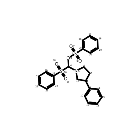 O=S(=O)(OC(N1CCC(c2ccccc2)C1)S(=O)(=O)c1ccccc1)c1ccccc1